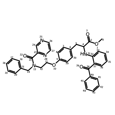 COC(=O)C(Cc1ccc(OCCN(Cc2ccccc2)C(=O)c2cnccn2)cc1)Nc1ccccc1C(=O)c1ccccc1